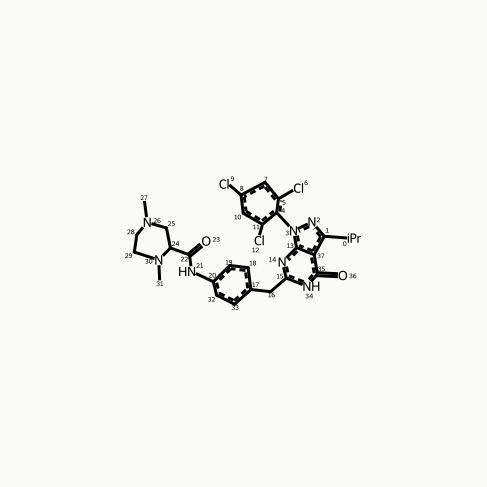 CC(C)c1nn(-c2c(Cl)cc(Cl)cc2Cl)c2nc(Cc3ccc(NC(=O)C4CN(C)CCN4C)cc3)[nH]c(=O)c12